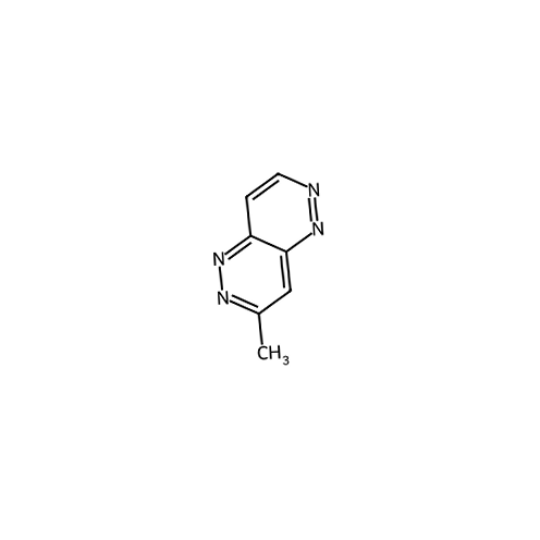 Cc1cc2nnccc2nn1